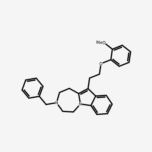 COc1ccccc1OCCc1c2n(c3ccccc13)CCN(Cc1ccccc1)CC2